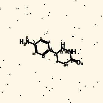 Nc1ccc(C2CSC(=O)NN2)cc1